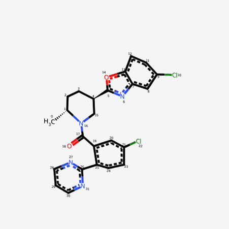 C[C@@H]1CC[C@@H](c2nc3cc(Cl)ccc3o2)CN1C(=O)c1cc(Cl)ccc1-c1ncccn1